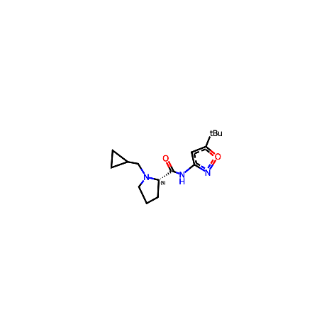 CC(C)(C)c1cc(NC(=O)[C@@H]2CCCN2CC2CC2)no1